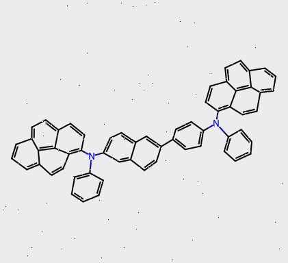 c1ccc(N(c2ccc(-c3ccc4cc(N(c5ccccc5)c5ccc6ccc7cccc8ccc5c6c78)ccc4c3)cc2)c2ccc3ccc4cccc5ccc2c3c45)cc1